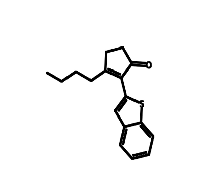 CCCCC1=C(c2cc3ccccc3s2)C(=O)CC1